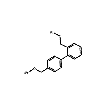 CC(C)OCc1ccc(-c2ccccc2COC(C)C)cc1